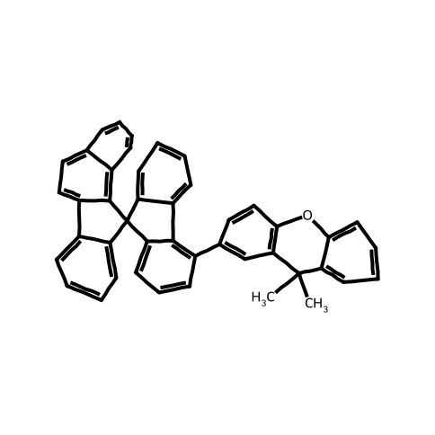 CC1(C)c2ccccc2Oc2ccc(-c3cccc4c3-c3ccccc3C43c4ccccc4-c4ccc5ccccc5c43)cc21